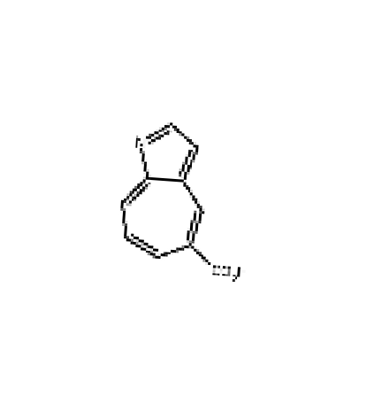 O=C(O)c1cccc2nccc-2c1